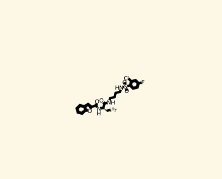 CC(C)C[C@H](NC(=O)c1cc2ccccc2o1)C(=O)NCCCCNS(=O)(=O)c1ccc(F)cc1Cl